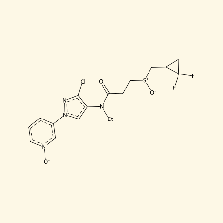 CCN(C(=O)CC[S+]([O-])CC1CC1(F)F)c1cn(-c2ccc[n+]([O-])c2)nc1Cl